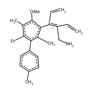 C=C/C(CN)=C(\C=C)c1c(C)c(-c2ccc(C)cc2)c(CC)c(C)c1OC